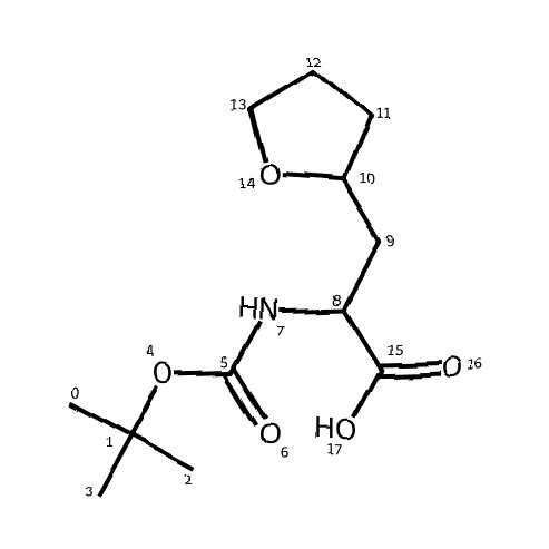 CC(C)(C)OC(=O)NC(CC1CCCO1)C(=O)O